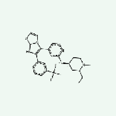 CCC1C[C@@H](Nc2nccc(C3=C(c4cccc(C(F)(F)F)c4)NC4OC=CN34)n2)CCN1C